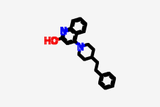 Oc1cc(N2CCC(CCc3ccccc3)CC2)c2ccccc2n1